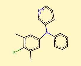 Cc1cc(N(c2ccccc2)c2cccnc2)cc(C)c1Br